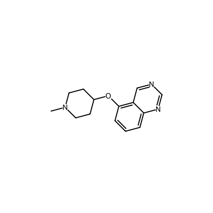 CN1CCC(Oc2cccc3ncncc23)CC1